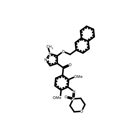 COc1ccc(C(=O)c2cnn(C)c2OCc2ccc3ccccc3c2)c(OC)c1N=S1(=O)CCOCC1